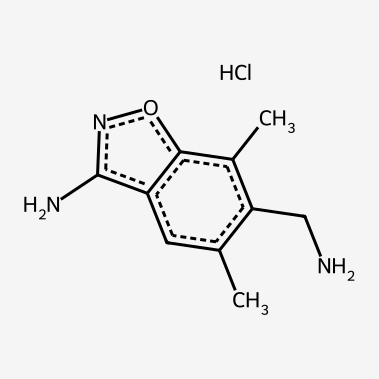 Cc1cc2c(N)noc2c(C)c1CN.Cl